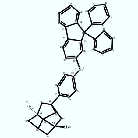 c1ccc(C2(c3ccccc3)c3ccccc3-c3ccc(Nc4ccc(C56C[C@@H]7CC8C[C@@H](C5)C87C6)cc4)cc32)cc1